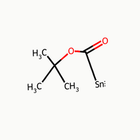 CC(C)(C)O[C](=O)[Sn]